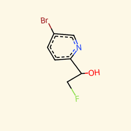 OC(CF)c1ccc(Br)cn1